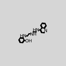 Oc1ccccc1NCCNCCNc1ccnc2ccccc12